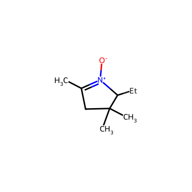 CCC1[N+]([O-])=C(C)CC1(C)C